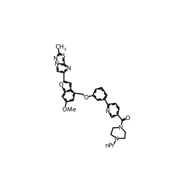 CCCN1CCN(C(=O)c2ccc(-c3cccc(OCc4cc(OC)cc5oc(-c6cn7nc(C)sc7n6)cc45)c3)nc2)CC1